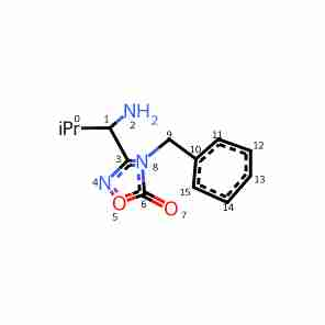 CC(C)C(N)c1noc(=O)n1Cc1ccccc1